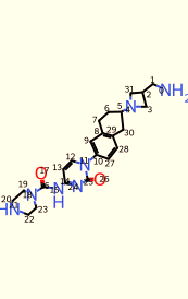 NCC1CN(C2CCc3cc(-n4ccc(NC(=O)N5CCNCC5)nc4=O)ccc3C2)C1